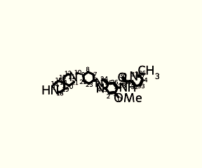 COc1cc2nn([C@H]3CC[C@H](CN4CCC5(CCNCC5)CC4)CC3)cc2cc1NC(=O)c1cccc(C)n1